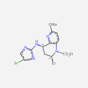 CCOC(=O)N1c2ccc(OC)nc2[C@H](Nc2ncc(Br)cn2)C[C@@H]1CC